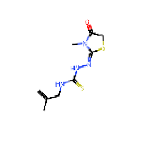 C=C(C)CNC(=S)NN=C1SCC(=O)N1C